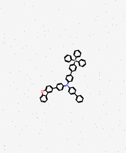 c1ccc(-c2ccc(N(c3ccc(-c4ccc([Si](c5ccccc5)(c5ccccc5)c5ccccc5)cc4)cc3)c3ccc(-c4ccc5oc6ccccc6c5c4)cc3)cc2)cc1